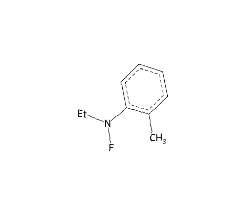 CCN(F)c1ccccc1C